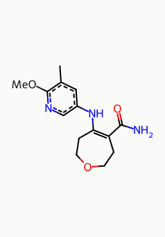 COc1ncc(NC2=C(C(N)=O)CCOCC2)cc1C